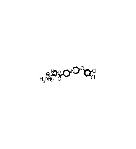 C[N+]1(C(=O)C2CCC(N3CCC(Oc4ccc(Cl)c(Cl)c4)CC3)CC2)C=NC(S(N)(=O)=O)=C1